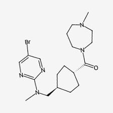 CN1CCCN(C(=O)[C@H]2CC[C@H](CN(C)c3ncc(Br)cn3)CC2)CC1